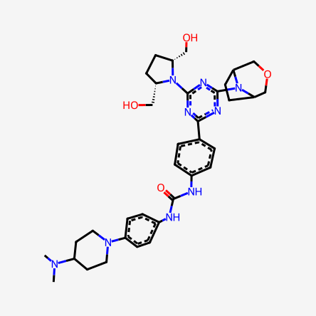 CN(C)C1CCN(c2ccc(NC(=O)Nc3ccc(-c4nc(N5C6CCC5COC6)nc(N5[C@H](CO)CC[C@@H]5CO)n4)cc3)cc2)CC1